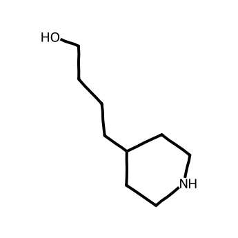 OCCCCC1CCNCC1